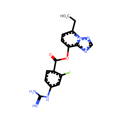 N=C(N)Nc1ccc(C(=O)Oc2ccc(CC(=O)O)n3ncnc23)c(F)c1